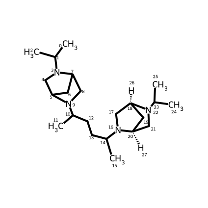 CC(C)N1CC2CC1CN2C(C)CCC(C)N1C[C@@H]2C[C@H]1CN2C(C)C